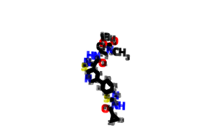 CC(CN(C)C(=O)OC(C)(C)C)NC(=O)c1nsc2ncc(-c3ccc4nc(NC(=O)C5CC5)sc4c3)cc12